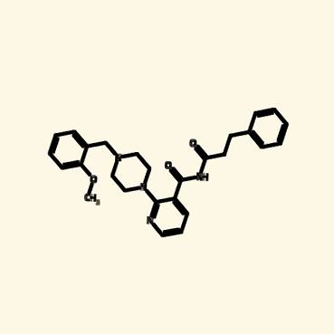 COc1ccccc1CN1CCN(c2ncccc2C(=O)NC(=O)CCc2ccccc2)CC1